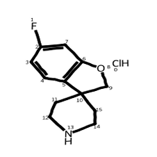 Cl.Fc1ccc2c(c1)OCC21CCNCC1